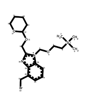 C[Si](C)(C)CCOCn1c(COC2CCCCO2)nc2c(CBr)cccc21